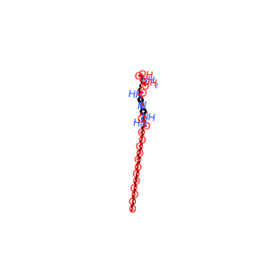 COCCOCCOCCOCCOCCOCCOCCOCCOCCOCCOCCOCCC(=O)NCC(=O)Nc1ccc(N=Nc2ccc(NC(=O)CCC[C@@H](C[C@H](N)C(=O)O)C(=O)O)cc2)cc1